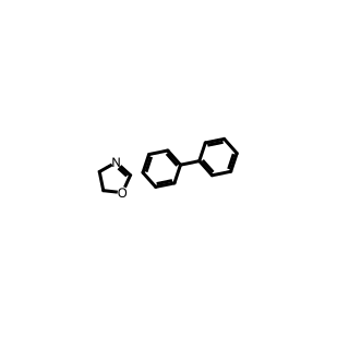 C1=NCCO1.c1ccc(-c2ccccc2)cc1